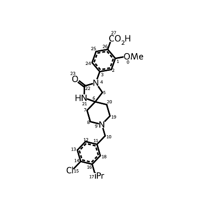 COc1cc(N2CC3(CCN(Cc4ccc(Cl)c(C(C)C)c4)CC3)NC2=O)ccc1C(=O)O